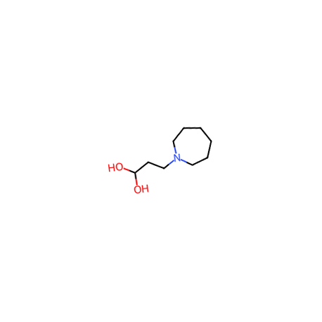 OC(O)CCN1CCCCCC1